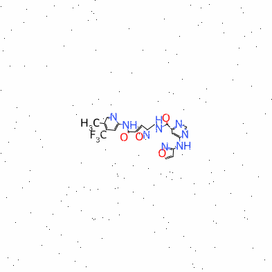 Cc1cnc(NC(=O)c2cc(CNC(=O)c3cc(Nc4ccon4)ncn3)no2)cc1C(F)(F)F